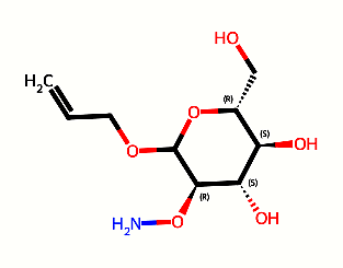 C=CCOC1O[C@H](CO)[C@@H](O)[C@H](O)[C@H]1ON